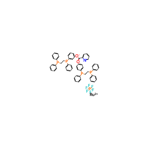 F[P-](F)(F)(F)(F)F.O=C([O-])c1ccccn1.[Ru+2].c1ccc(P(CCP(c2ccccc2)c2ccccc2)c2ccccc2)cc1.c1ccc(P(CCP(c2ccccc2)c2ccccc2)c2ccccc2)cc1